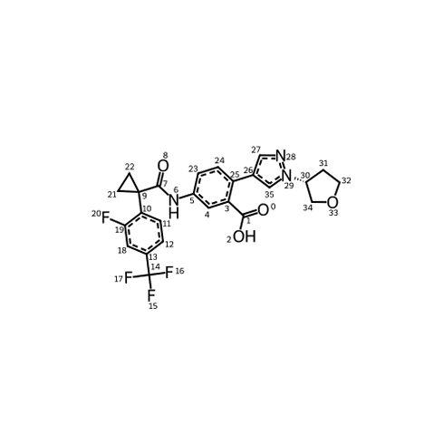 O=C(O)c1cc(NC(=O)C2(c3ccc(C(F)(F)F)cc3F)CC2)ccc1-c1cnn([C@@H]2CCOC2)c1